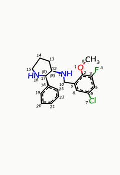 COc1c(F)cc(Cl)cc1CN[C@@H]1CCCN[C@@H]1c1ccccc1